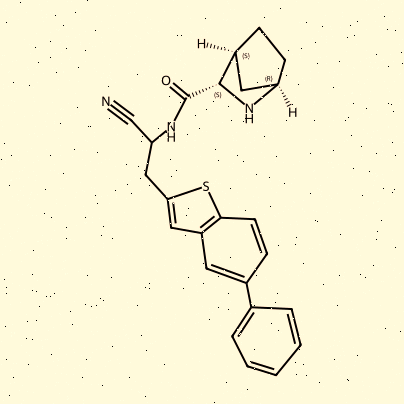 N#CC(Cc1cc2cc(-c3ccccc3)ccc2s1)NC(=O)[C@H]1N[C@@H]2CC[C@H]1C2